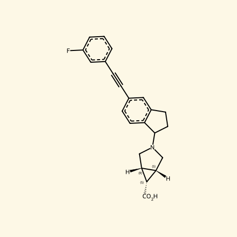 O=C(O)[C@@H]1[C@@H]2CN(C3CCc4cc(C#Cc5cccc(F)c5)ccc43)C[C@@H]21